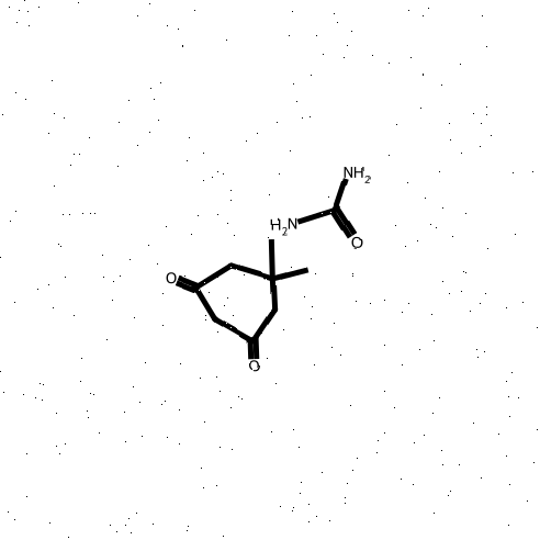 CC1(C)CC(=O)CC(=O)C1.NC(N)=O